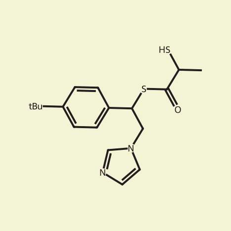 CC(S)C(=O)SC(Cn1ccnc1)c1ccc(C(C)(C)C)cc1